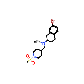 CCCN(CC1CCN(S(C)(=O)=O)CC1)C1CCc2ccc(Br)cc2C1